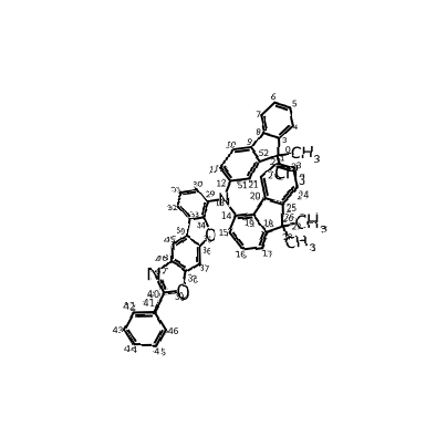 CC1(C)c2ccccc2-c2ccc(N(c3cccc4c3-c3ccccc3C4(C)C)c3cccc4c3oc3cc5oc(-c6ccccc6)nc5cc34)cc21